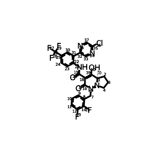 C[C@]12CCCN1N(Cc1cccc(F)c1F)C(=O)C(C(=O)Nc1ccc(C(F)(F)F)cc1-c1cnc(Cl)cn1)=C2O